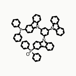 O=P(c1ccccc1)(c1ccccc1)c1ccc2c(c1)c1ccccc1n2-c1cc(-n2c3ccccc3c3ccccc32)cc(-n2c3ccccc3c3cc(P(c4ccccc4)c4ccccc4)ccc32)c1